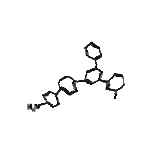 CC1C=C(c2cc(-c3ccccc3)cc(-c3ccc(-c4ccc(N)cc4)cc3)c2)C=CC1